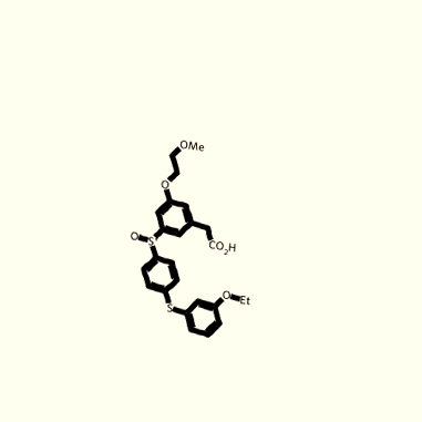 CCOc1cccc(Sc2ccc([S+]([O-])c3cc(CC(=O)O)cc(OCCOC)c3)cc2)c1